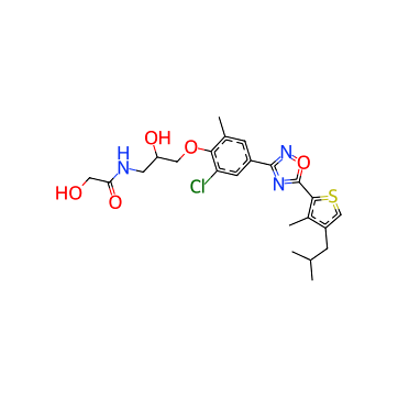 Cc1cc(-c2noc(-c3scc(CC(C)C)c3C)n2)cc(Cl)c1OCC(O)CNC(=O)CO